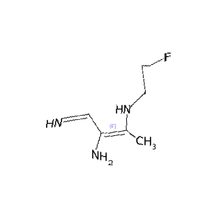 C/C(NCCF)=C(\N)C=N